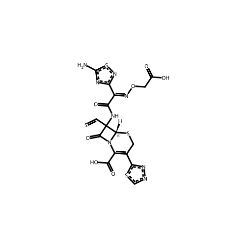 Nc1nc(C(=NOCC(=O)O)C(=O)NC2(C=S)C(=O)N3C(C(=O)O)=C(c4nncs4)CS[C@H]32)ns1